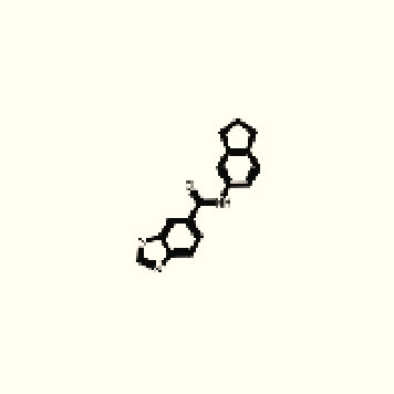 O=C(Nc1ccc2c(c1)CCC2)c1ccc2n[c]sc2c1